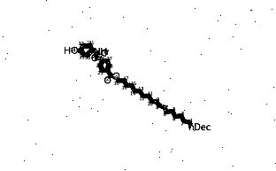 CCCCCCCCCCCCCCCCCCCCCCCCCCCCOC(=O)c1ccc(S(=O)(=O)Nc2ccc(O)cc2)cc1